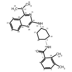 Cc1cccc(C(=O)N[C@H]2CC[C@@H](Nc3nc(N(C)C)c4ccccc4n3)CC2)c1C